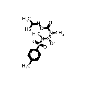 CC(S)=NOC(=O)N(C)[S+]([O-])N(C)S(=O)(=O)c1ccc(C)cc1